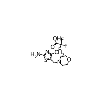 Cc1nc(N)sc1CN1CCOCC1.O=C(O)C(F)(F)F